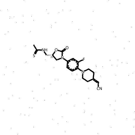 CC(=S)NC[C@H]1CN(c2ccc(N3CCC(=CC#N)CC3)c(F)c2)C(=O)O1